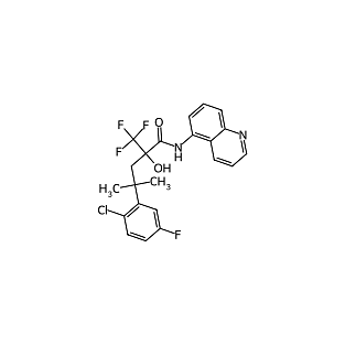 CC(C)(CC(O)(C(=O)Nc1cccc2ncccc12)C(F)(F)F)c1cc(F)ccc1Cl